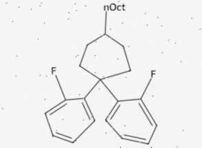 CCCCCCCCC1CCC(c2ccccc2F)(c2ccccc2F)CC1